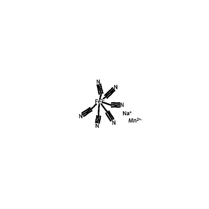 N#[C][Fe-3]([C]#N)([C]#N)([C]#N)([C]#N)[C]#N.[Mn+2].[Na+]